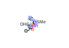 CSc1nc(NNC(=O)[C@@H](CC2CCCC2)CN(O)C=O)c(F)c(N2CCN(C)[C@@H](C)C2)n1